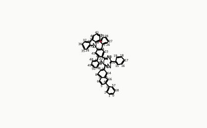 c1ccc(-c2ccc3ccc(-c4nc(-c5ccccc5)nc(-c5cc(-c6ccccc6)c(-n6c7ccccc7c7ccccc76)cc5-c5ccccc5)n4)cc3c2)cc1